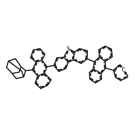 c1ccc(-c2c3ccccc3c(-c3ccc4sc5cc(-c6c7ccccc7c(C7C8CC9CC(C8)CC7C9)c7ccccc67)ccc5c4c3)c3ccccc23)cc1